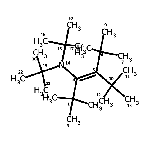 CC(C)(C)C(=C(C(C)(C)C)C(C)(C)C)N(C(C)(C)C)C(C)(C)C